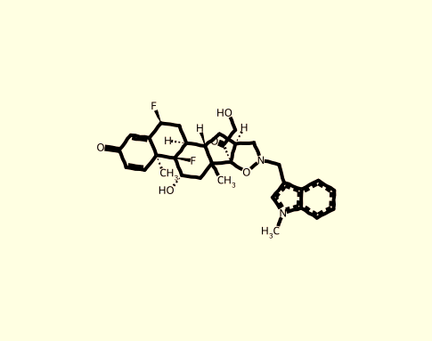 Cn1cc(CN2C[C@@H]3C[C@H]4[C@@H]5C[C@H](F)C6=CC(=O)C=C[C@]6(C)[C@@]5(F)[C@@H](O)CC4(C)[C@]3(C(=O)CO)O2)c2ccccc21